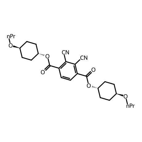 CCCO[C@H]1CC[C@H](OC(=O)c2ccc(C(=O)O[C@H]3CC[C@H](OCCC)CC3)c(C#N)c2C#N)CC1